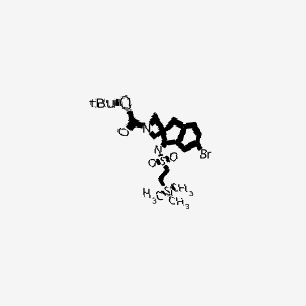 CC(C)(C)OC(=O)N1CC2(Cc3ccc(Br)cc3/C2=N\S(=O)(=O)CC[Si](C)(C)C)C1